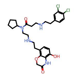 O=C1COc2c(CCNCCN(C(=O)CCNCCc3ccc(Cl)c(Cl)c3)C3CCCC3)ccc(O)c2N1